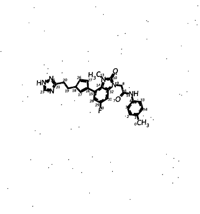 Cc1ccc(NC(=O)Cn2c(=O)n(C)c3c(C4=CC(CCc5nc[nH]n5)C=C4)cc(F)cc32)cc1